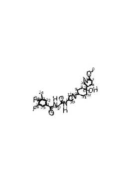 COc1ccc(C2(O)CCC(N3CC(NC(=O)CNC(=O)c4cc(C)c(F)c(F)c4)C3)CC2)cn1